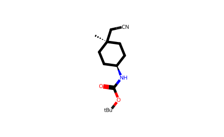 CC(C)(C)OC(=O)N[C@H]1CC[C@@](C)(CC#N)CC1